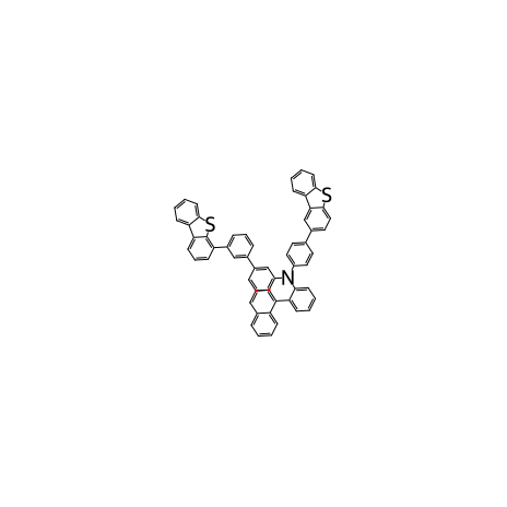 c1cc(-c2cccc(N(c3ccc(-c4ccc5sc6ccccc6c5c4)cc3)c3ccccc3-c3cccc4ccccc34)c2)cc(-c2cccc3c2sc2ccccc23)c1